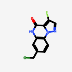 O=c1[nH]c2cc(CCl)ccc2n2ncc(F)c12